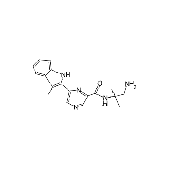 Cc1c(-c2cncc(C(=O)NC(C)(C)CN)n2)[nH]c2ccccc12